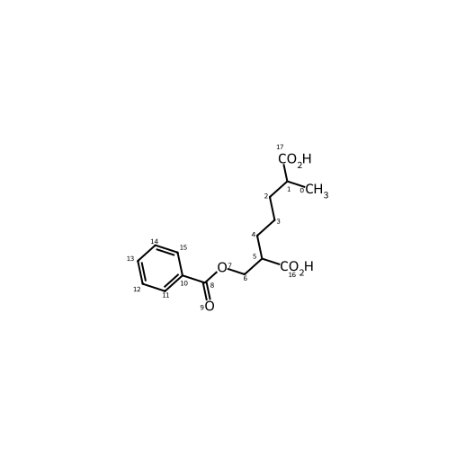 CC(CCCC(COC(=O)c1ccccc1)C(=O)O)C(=O)O